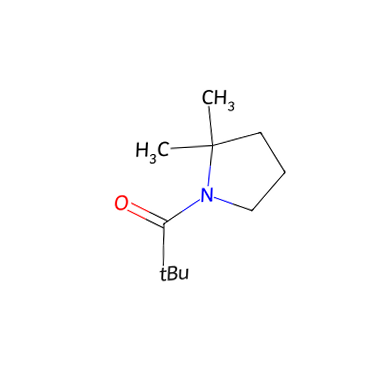 CC(C)(C)C(=O)N1CCCC1(C)C